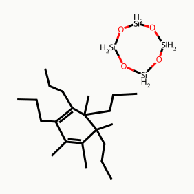 CCCC1=C(CCC)C(C)(CCC)C(C)(CCC)C(C)=C1C.O1[SiH2]O[SiH2]O[SiH2]O[SiH2]1